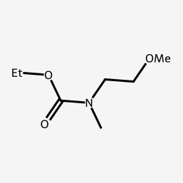 [CH2]COC(=O)N(C)CCOC